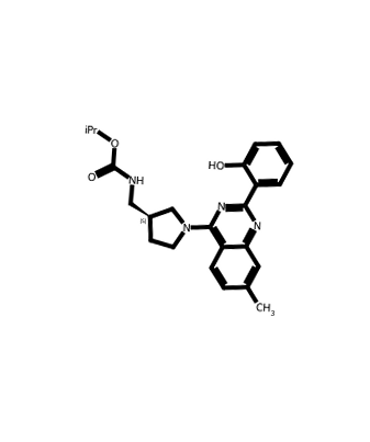 Cc1ccc2c(N3CC[C@@H](CNC(=O)OC(C)C)C3)nc(-c3ccccc3O)nc2c1